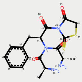 C[C@H](N)C(=O)N(C(=O)[C@H](C)N)[C@@H](Cc1ccccc1)C(=O)N1C(=O)CSC1=S